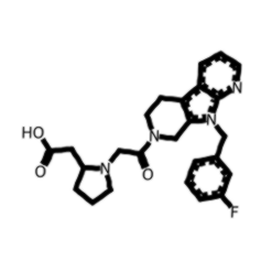 O=C(O)CC1CCCN1CC(=O)N1CCc2c(n(Cc3cccc(F)c3)c3ncccc23)C1